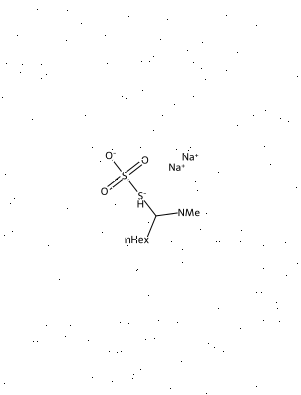 CCCCCCC(NC)[SH-]S(=O)(=O)[O-].[Na+].[Na+]